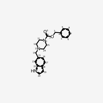 O=C(OCc1ccccc1)N1CCN(Cc2ccc3cc[nH]c3c2)CC1